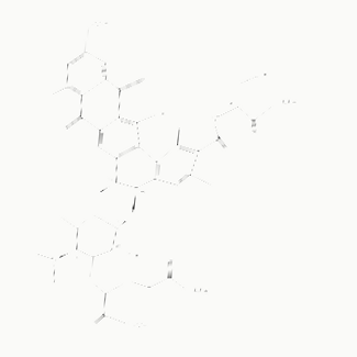 COC(=O)COC(OC1[C@@H](N(C)C)C(C)O[C@@H](O[C@@H]2c3cc(C)c(C(=O)N[C@H](CO)C(=O)OC)c(O)c3-c3c(cc4c(c3O)C(=O)c3cc(OC)cc(O)c3C4=O)[C@@H]2O)[C@@H]1O)C(=O)OC